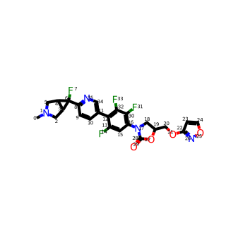 CN1CC2C(C1)C2(F)c1ccc(-c2c(F)cc(N3CC(COc4ccon4)OC3=O)c(F)c2F)cn1